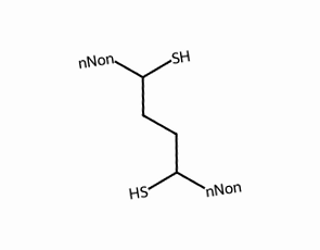 CCCCCCCCCC(S)CCC(S)CCCCCCCCC